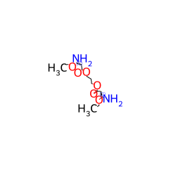 CCO/C(N)=C\C(=O)OCCCOC(=O)/C=C(/N)OCC